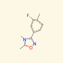 Cc1ccc(-c2noc(C)[n+]2C)cc1F